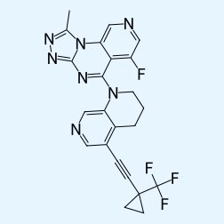 Cc1nnc2nc(N3CCCc4c(C#CC5(C(F)(F)F)CC5)cncc43)c3c(F)cncc3n12